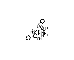 Cc1cc(-c2ccccc2)c2nnc([C@@H](COCc3ccccc3)NC(=O)C(C)(N)O)n2c1